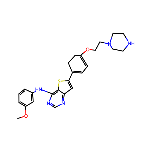 COc1cccc(Nc2ncnc3cc(C4=CC=C(OCCN5CCNCC5)CC4)sc23)c1